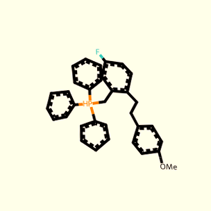 COc1ccc(CCc2ccc(F)cc2C[PH](c2ccccc2)(c2ccccc2)c2ccccc2)cc1